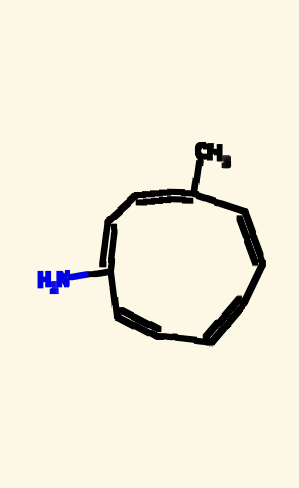 Cc1ccccccc(N)cc1